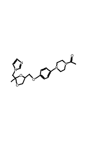 CC(=O)N1CCN(c2ccc(OCC3COC(C)(Cn4ccnc4)O3)cc2)CC1